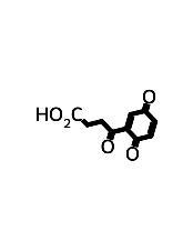 O=C1C=CC(=O)C(C(=O)CCC(=O)O)=C1